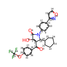 O=C(C1=C(O)C(=O)N(c2ccc(-c3ccon3)cc2)C1C1CCCCC1)c1ccc(OC(F)(F)F)cc1